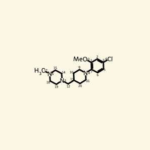 COc1cc(Cl)ccc1N1CCC(CN2CCN(C)CC2)CC1